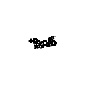 C[C@H]1C(=O)N([C@@H](Cc2ccc(C(C)(C)C)cc2)C(=O)OC(C)(C)C)CCN1S(=O)(=O)c1ccccc1[N+](=O)[O-]